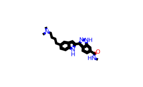 CNC(=O)c1ccc2c(-c3cc4cc(CCCCN(C)C)ccc4[nH]3)n[nH]c2c1